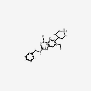 CCc1cc(NC(=O)OCc2ccccc2)c(OC)nc1C1CCNCC1